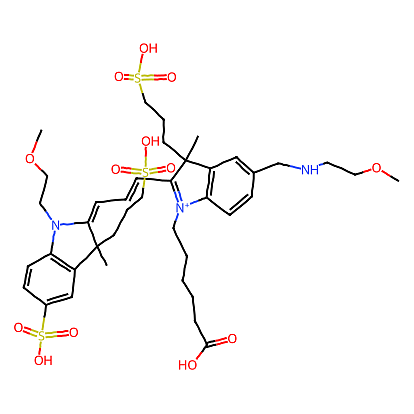 COCCNCc1ccc2c(c1)C(C)(CCCS(=O)(=O)O)C(/C=C/C=C1/N(CCOC)c3ccc(S(=O)(=O)O)cc3C1(C)CCCS(=O)(=O)O)=[N+]2CCCCCC(=O)O